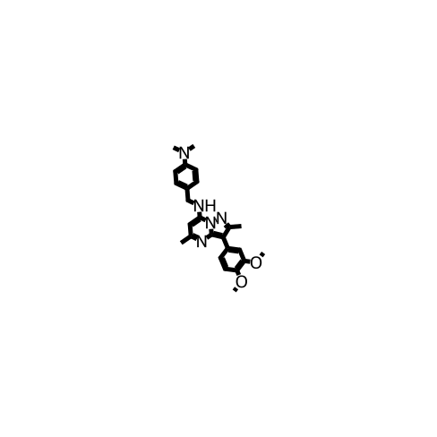 COc1ccc(-c2c(C)nn3c(NCc4ccc(N(C)C)cc4)cc(C)nc23)cc1OC